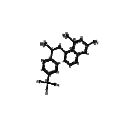 CC(Oc1cccc2nc(N)nc(N)c12)c1ccc(C(F)(F)F)cc1